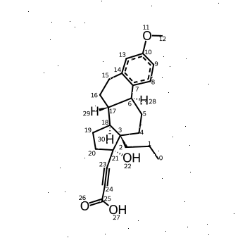 CCC[C@]12CC[C@@H]3c4ccc(OC)cc4CC[C@H]3[C@@H]1CC[C@]2(O)C#CC(=O)O